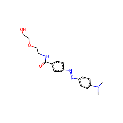 CN(C)c1ccc(N=Nc2ccc(C(=O)NCCOCCO)cc2)cc1